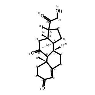 C[C@]12CCC(=O)C=C1CC[C@@H]1C2C(=O)C[C@@]2(C)[C@H]1CCC2(I)C(=O)CO